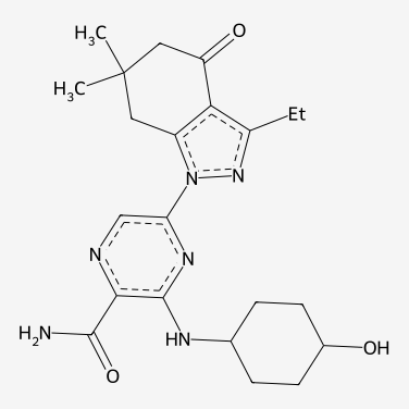 CCc1nn(-c2cnc(C(N)=O)c(NC3CCC(O)CC3)n2)c2c1C(=O)CC(C)(C)C2